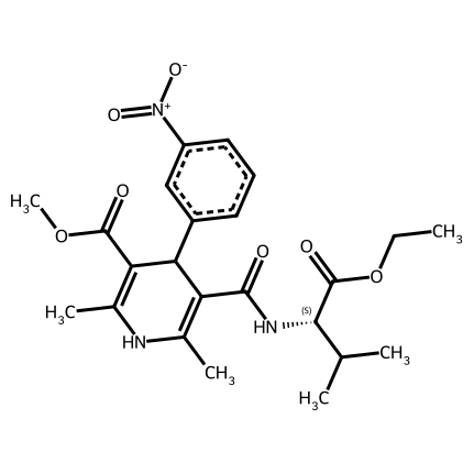 CCOC(=O)[C@@H](NC(=O)C1=C(C)NC(C)=C(C(=O)OC)C1c1cccc([N+](=O)[O-])c1)C(C)C